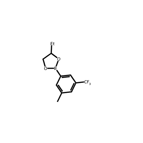 CCC1COB(c2cc(C)cc(C(F)(F)F)c2)O1